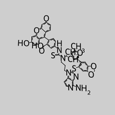 Cc1ccc(-c2cc3c(cc2Sc2nc4c(N)nccc4n2CCCN(C(=S)Nc2ccc(-c4c5ccc(=O)cc-5oc5cc(O)ccc45)c(C(=O)O)c2)C(C)C)OCO3)o1